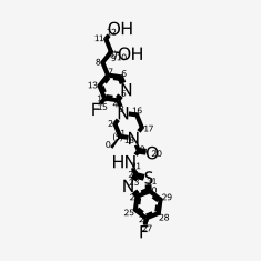 C[C@H]1CN(c2ncc(C[C@@H](O)CO)cc2F)CCN1C(=O)Nc1nc2cc(F)ccc2s1